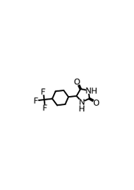 O=C1NC(=O)C(C2CCC(C(F)(F)F)CC2)N1